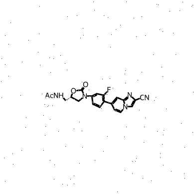 CC(=O)NC[C@H]1CN(c2ccc(-c3ccn4cc(C#N)nc4c3)c(F)c2)C(=O)O1